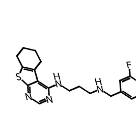 Fc1cccc(CNCCCNc2ncnc3sc4c(c23)CCCC4)c1